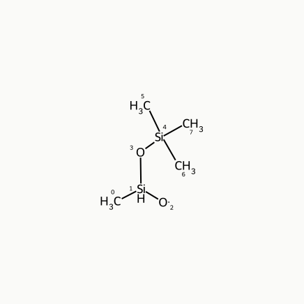 C[SiH]([O])O[Si](C)(C)C